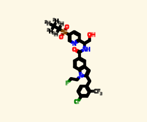 [2H]C([2H])([2H])C([2H])([2H])S(=O)(=O)c1ccc(C(CO)NC(=O)c2ccc3c(c2)cc(Cc2ccc(Cl)cc2C(F)(F)F)n3CCF)nc1